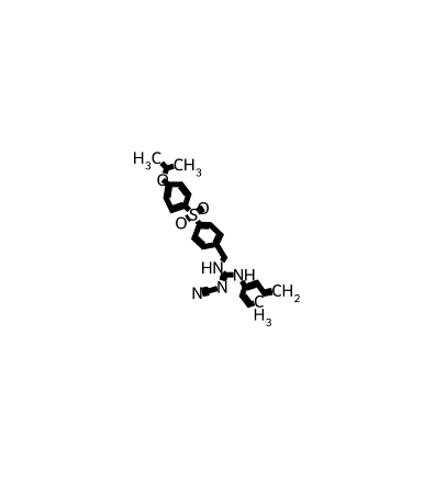 C=C/C=C(\C=C/C)N/C(=N/C#N)NCc1ccc(S(=O)(=O)c2ccc(OC(C)C)cc2)cc1